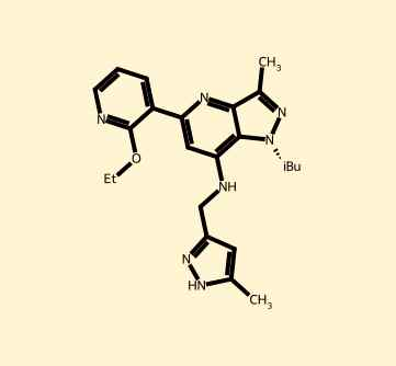 CCOc1ncccc1-c1cc(NCc2cc(C)[nH]n2)c2c(n1)c(C)nn2[C@@H](C)CC